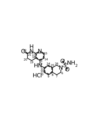 Cl.NS(=O)(=O)N1CCc2ccc(Nc3ccnc4c3CCC(=O)N4)cc2C1